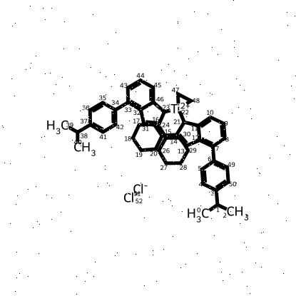 CC(C)c1ccc(-c2cccc3c2C=C(C2CCCCC2)[CH]3[Ti+2]2([CH]3C(C4CCCCC4)=Cc4c(-c5ccc(C(C)C)cc5)cccc43)[CH2][CH2]2)cc1.[Cl-].[Cl-]